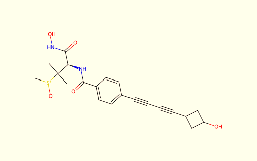 C[S+]([O-])C(C)(C)[C@H](NC(=O)c1ccc(C#CC#CC2CC(O)C2)cc1)C(=O)NO